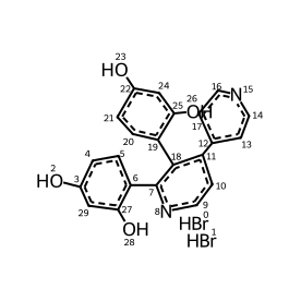 Br.Br.Oc1ccc(-c2nccc(-c3ccncc3)c2-c2ccc(O)cc2O)c(O)c1